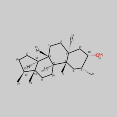 C[C@@H]1C[C@@]2(C)[C@@H](CC[C@@H]3[C@@H]2CC[C@]2(C)[C@@H](C)CC[C@@H]32)C[C@@H]1O